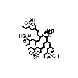 CCC(CC(C)=CCC(C=C(C)CC(CC)S(=O)(=O)O)c1nccn1C(C=C(C)CC(CC)S(=O)(=O)O)CC=C(C)CC(CC)S(=O)(=O)O)S(=O)(=O)O.Cl.Cl